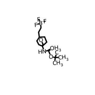 CC(C)(C)OC(=O)NC12CCC(CC[B-](F)(F)F)(CC1)OC2